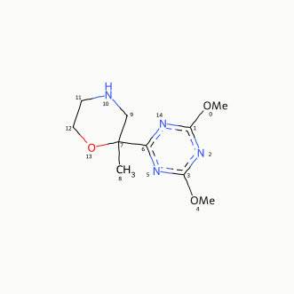 COc1nc(OC)nc(C2(C)CNCCO2)n1